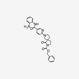 Nc1ccccc1NC(=O)c1ccc(N2CCC3(CCN(C(=O)OCc4ccccc4)C3=O)C2)nc1